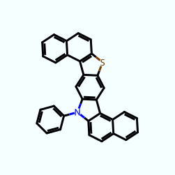 c1ccc(-n2c3cc4c(cc3c3c5ccccc5ccc32)sc2ccc3ccccc3c24)cc1